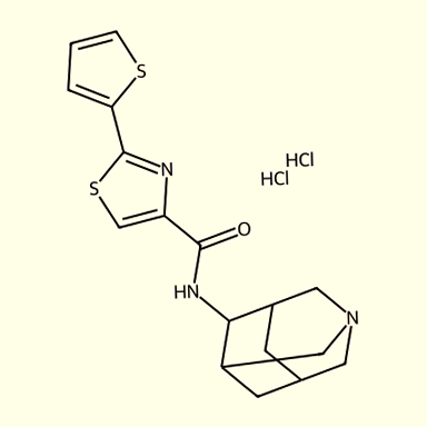 Cl.Cl.O=C(NC1C2CC3CC1CN(C3)C2)c1csc(-c2cccs2)n1